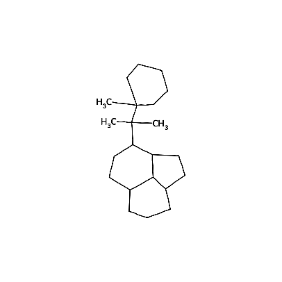 CC1(C(C)(C)C2CCC3CCCC4CCC2C43)CCCCC1